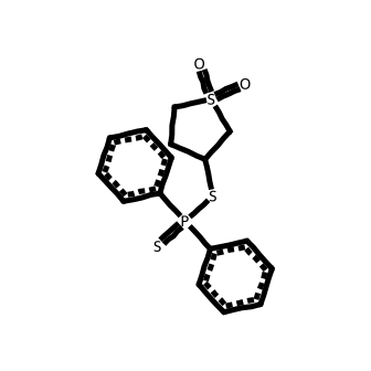 O=S1(=O)CCC(SP(=S)(c2ccccc2)c2ccccc2)C1